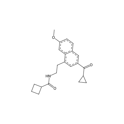 COc1ccc2cc(C(=O)C3CC3)cc(CCNC(=O)C3CCC3)c2c1